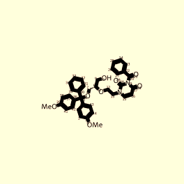 COc1ccc(C(OC[C@H](CO)OCCn2ccc(=O)n(C(=O)c3ccccc3)c2=O)(c2ccccc2)c2ccc(OC)cc2)cc1